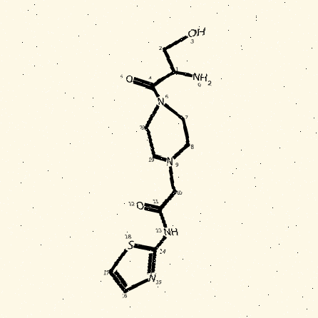 NC(CO)C(=O)N1CCN(CC(=O)Nc2nccs2)CC1